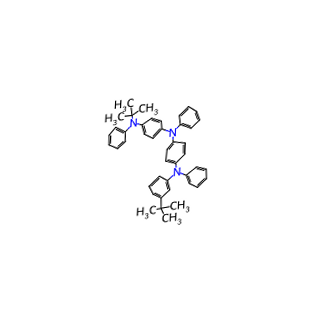 CC(C)(C)c1cccc(N(c2ccccc2)c2ccc(N(c3ccccc3)c3ccc(N(c4ccccc4)C(C)(C)C)cc3)cc2)c1